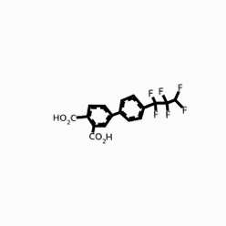 O=C(O)c1ccc(-c2ccc(C(F)(F)C(F)(F)C(F)F)cc2)cc1C(=O)O